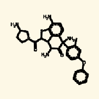 Cc1cc(Oc2ccccc2)ccc1C1(N)C(=O)C(N)C2c3c1ccc(N)c3SC2C(=O)N1CCC(N)C1